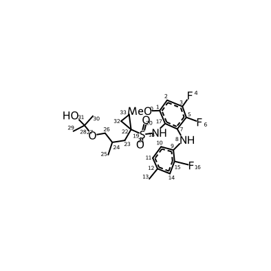 COc1cc(F)c(F)c(Nc2ccc(C)cc2F)c1NS(=O)(=O)C1(CC(C)COC(C)(C)O)CC1